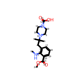 CNc1c(CC(C)(C)N2CCN(C(=O)O)CC2)cccc1C(=O)OC